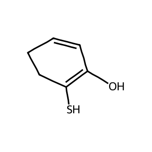 OC1=C(S)CCC=C1